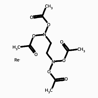 CC(=O)ON(CCN(OC(C)=O)OC(C)=O)OC(C)=O.[Re]